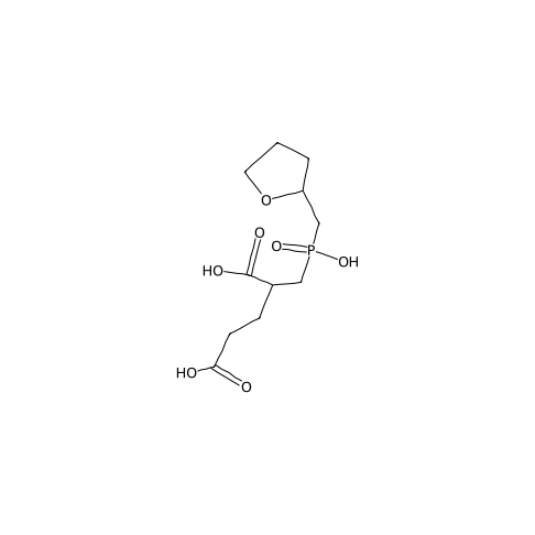 O=C(O)CCC(CP(=O)(O)CC1CCCO1)C(=O)O